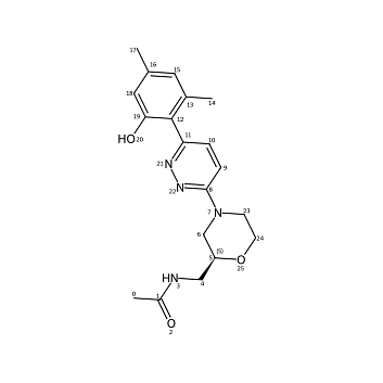 CC(=O)NC[C@H]1CN(c2ccc(-c3c(C)cc(C)cc3O)nn2)CCO1